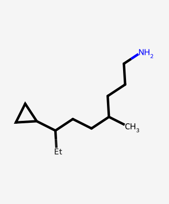 CCC(CCC(C)CCCN)C1CC1